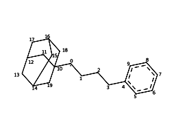 [CH](CCCc1ccccc1)C12CC3CC(CC(C3)C1)C2